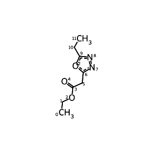 CCOC(=O)Cc1nnc(CC)o1